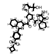 CC(C)(O)c1cnnn1[C@H]1C[C@@H](C(=O)NC2(C(=O)C(N)=O)CCSCC2)N(C(=O)/C(CC2CCCCC2)=N/C(=O)c2ccc(S(=O)(=O)C3CCC3)cc2)C1